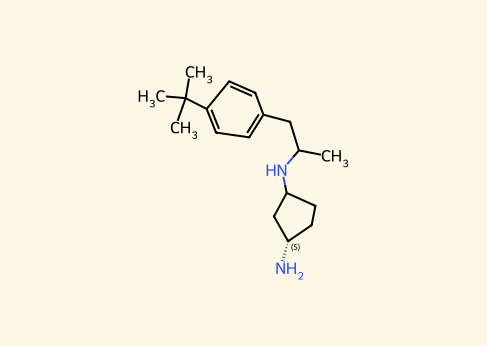 CC(Cc1ccc(C(C)(C)C)cc1)NC1CC[C@H](N)C1